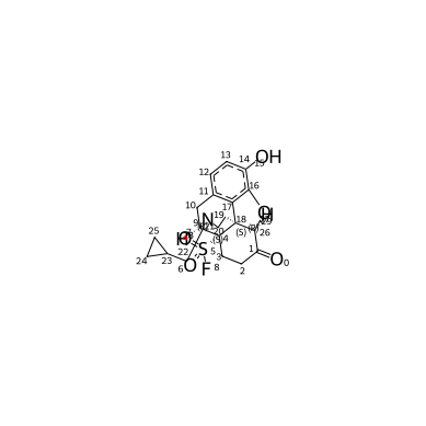 O=C1CC[C@@]2(S(=O)(=O)F)[C@H]3Cc4ccc(O)c5c4[C@@]2(CCN3CC2CC2)[C@H]1O5